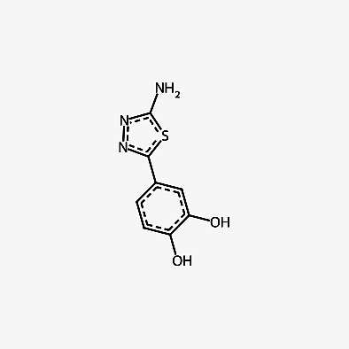 Nc1nnc(-c2ccc(O)c(O)c2)s1